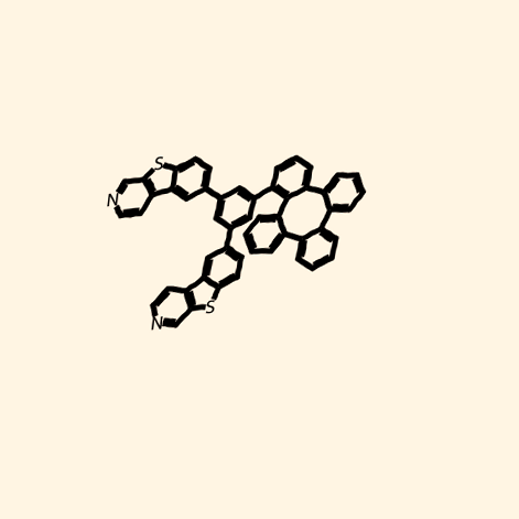 c1ccc2c(c1)-c1ccccc1-c1cccc(-c3cc(-c4ccc5sc6cnccc6c5c4)cc(-c4ccc5sc6cnccc6c5c4)c3)c1-c1ccccc1-2